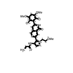 C=CC(=O)Nc1cnn(CCOC)c1-c1cc2c(=O)[nH]c(-c3c(Cl)c(OC)cc(OC)c3Cl)cc2cn1